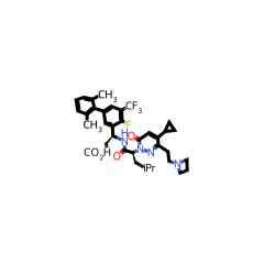 Cc1cccc(C)c1-c1cc([C@H](CC(=O)O)NC(=O)[C@H](CC(C)C)n2nc(CCN3CCC3)c(C3CC3)cc2=O)c(F)c(C(F)(F)F)c1